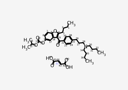 CCCCc1oc2ccc(OC(=O)OC(C)C)cc2c1C(=O)c1ccc(CCCN(CCCC)CCCC)cc1.O=C(O)/C=C/C(=O)O